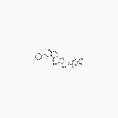 O=c1ccn([C@@H]2O[C@H](COP(=O)(O)OP(=O)(O)O)[C@H](O)C2O)c(=O)n1CCc1ccccc1